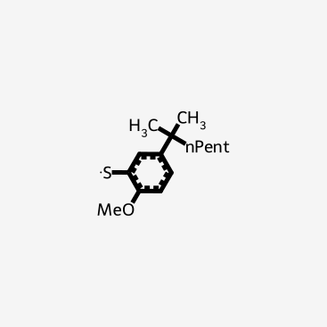 CCCCCC(C)(C)c1ccc(OC)c([S])c1